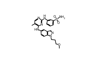 COCCCn1ncc2cc(Nc3nc(Nc4cccc(S(N)(=O)=O)c4)ncc3C)ccc21